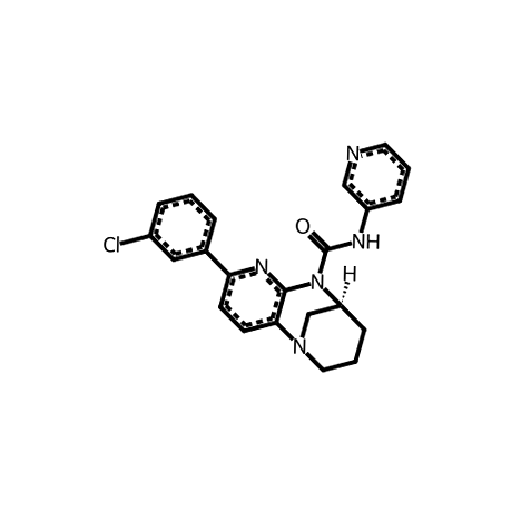 O=C(Nc1cccnc1)N1c2nc(-c3cccc(Cl)c3)ccc2N2CCC[C@H]1C2